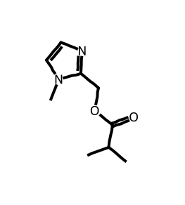 CC(C)C(=O)OCc1nccn1C